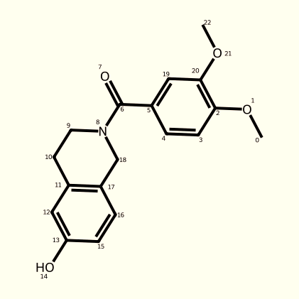 COc1ccc(C(=O)N2CCc3cc(O)ccc3C2)cc1OC